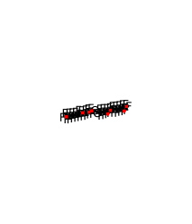 FC(F)(F)C(F)(F)C(F)(F)C(F)(F)C(F)(F)C(F)(F)C(F)(F)C(F)(F)C(F)(F)OOC(F)(F)C(F)(F)C(F)(F)C(F)(F)C(F)(F)C(F)(F)C(F)(F)C(F)(F)C(F)(F)F